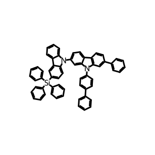 c1ccc(-c2ccc(-n3c4cc(-c5ccccc5)ccc4c4ccc(-n5c6ccccc6c6cc([Si](c7ccccc7)(c7ccccc7)c7ccccc7)ccc65)cc43)cc2)cc1